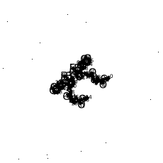 CCOC(=O)C1CCN(C(=O)/C=C/c2ccc(Sc3ccc(/C=C/C(=O)N4CCC(C(=O)OCC)C4)c(-c4ccc5c(c4)CCOO5)c3C(F)(F)F)c(C(F)(F)F)c2-c2ccc3c(c2)CCOO3)C1